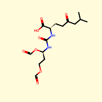 CC(C)CC(=O)CC[C@H](NC(=O)N[C@@H](CCOC=O)OC=O)C(=O)O